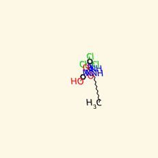 CCCCCCCCCCCCC(=O)Nc1[nH]n(-c2c(Cl)cc(Cl)cc2Cl)c(=O)c1N=Nc1ccc(O)cc1